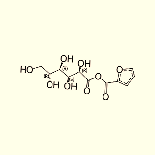 O=C(OC(=O)[C@H](O)[C@@H](O)[C@H](O)[C@H](O)CO)c1ccco1